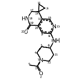 CC(=O)N1CCC(Nc2cc3c(cn2)C2(CC2)CNC3=O)CC1